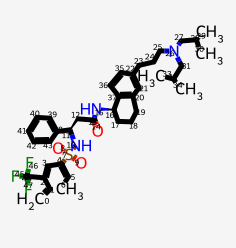 C=C/C(=C\C(=C/C)S(=O)(=O)N[C@H](CC(=O)N[C@@H]1CCCc2cc(CCCN(CC(C)C)CC(C)C)ccc21)c1ccccc1)C(F)(F)F